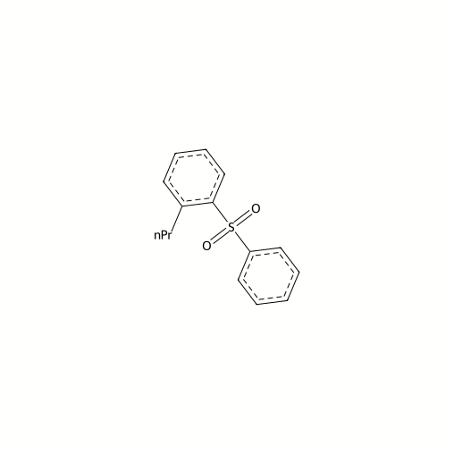 CCCc1ccccc1S(=O)(=O)c1ccccc1